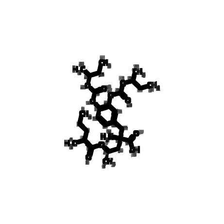 CCCC(C)C(=O)O[C@@H](C)CC(N)(Cc1ccc(OC(=O)OC(C)CC)c(OC(=O)OC(C)CC)c1)C(=O)O